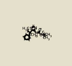 CCC(C)(c1ccccc1)c1scnc1NC(=O)OC(C)(C)C